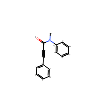 CN(C(=O)C#Cc1ccccc1)c1ccccc1